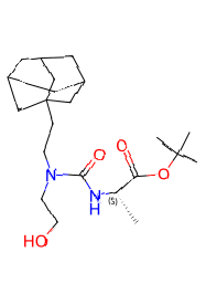 C[C@H](NC(=O)N(CCO)CCC12CC3CC(CC(C3)C1)C2)C(=O)OC(C)(C)C